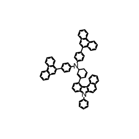 C1=CC(c2cccc3c2c2c4ccccc4ccc2n3-c2ccccc2)=CC(N(c2ccc(-c3cc4ccccc4c4ccccc34)cc2)c2ccc(-c3cc4ccccc4c4ccccc34)cc2)C1